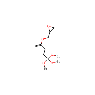 C=C(CC[Si](OCC)(OCC)OCC)OCC1CO1